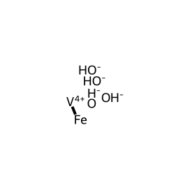 [OH-].[OH-].[OH-].[OH-].[V+4][Fe]